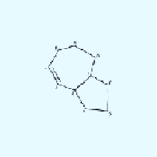 [CH]1C=CC2CCCC2CC1